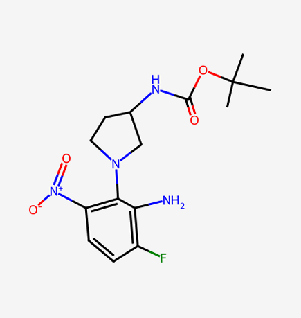 CC(C)(C)OC(=O)NC1CCN(c2c([N+](=O)[O-])ccc(F)c2N)C1